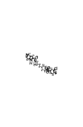 O=C(NCCCCC1CCN(S(=O)(=O)c2ccc(F)c(Cl)c2)CC1)c1cc2cnccc2[nH]1